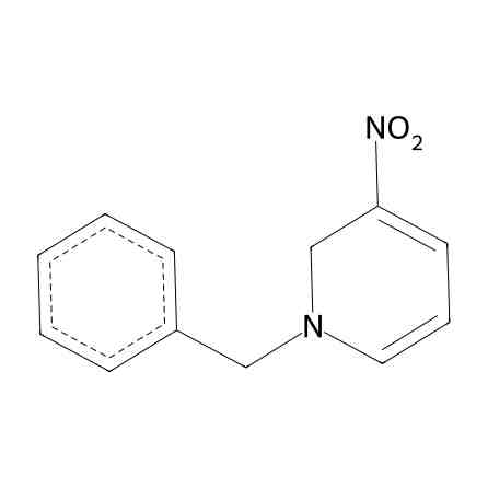 O=[N+]([O-])C1=CC=CN(Cc2ccccc2)C1